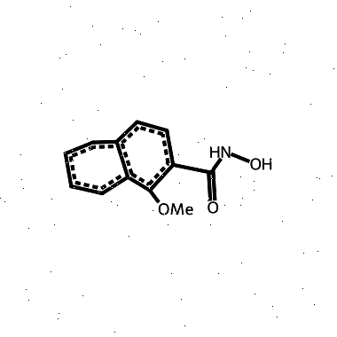 COc1c(C(=O)NO)ccc2ccccc12